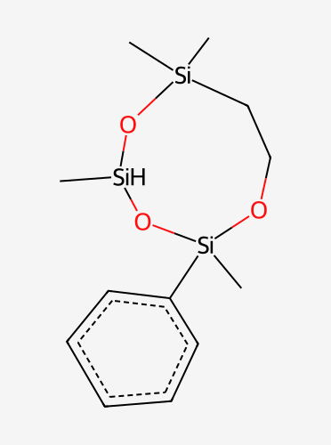 C[SiH]1O[Si](C)(C)CCO[Si](C)(c2ccccc2)O1